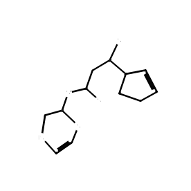 NC(CC(N=O)C1C=CCC1)NC1CNC=CN1